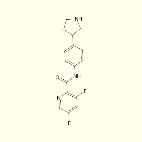 O=C(Nc1ccc(C2CCNC2)cc1)c1ncc(F)cc1F